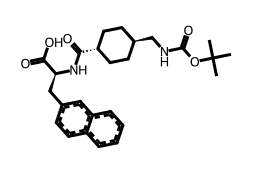 CC(C)(C)OC(=O)NC[C@H]1CC[C@H](C(=O)N[C@@H](Cc2ccc3ccccc3c2)C(=O)O)CC1